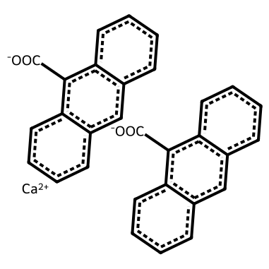 O=C([O-])c1c2ccccc2cc2ccccc12.O=C([O-])c1c2ccccc2cc2ccccc12.[Ca+2]